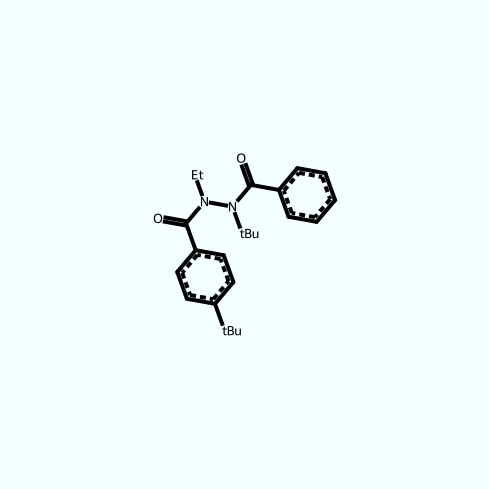 CCN(C(=O)c1ccc(C(C)(C)C)cc1)N(C(=O)c1ccccc1)C(C)(C)C